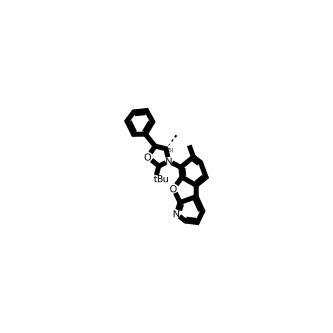 Cc1ccc2c(oc3ncccc32)c1N1C(C(C)(C)C)OC(c2ccccc2)[C@@H]1C